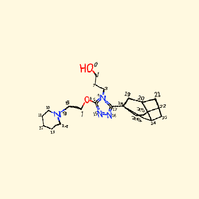 OCCCn1c(OCCN2CCCCC2)nnc1C12CC3CC4CC1C43C2